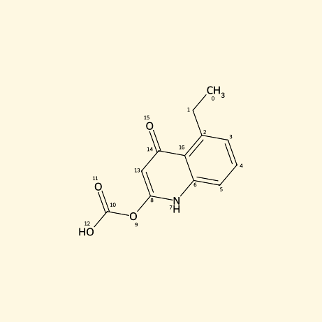 CCc1cccc2[nH]c(OC(=O)O)cc(=O)c12